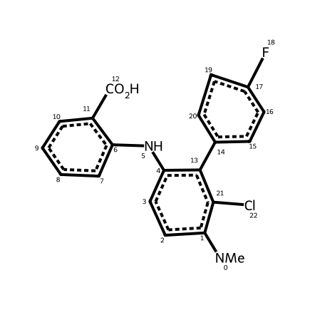 CNc1ccc(Nc2ccccc2C(=O)O)c(-c2ccc(F)cc2)c1Cl